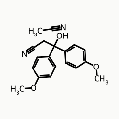 CC#N.COc1ccc(C(O)(CC#N)c2ccc(OC)cc2)cc1